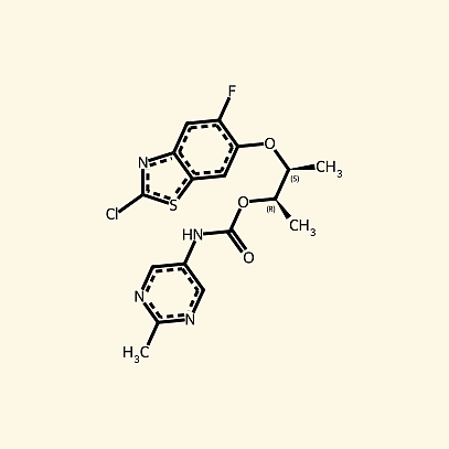 Cc1ncc(NC(=O)O[C@H](C)[C@H](C)Oc2cc3sc(Cl)nc3cc2F)cn1